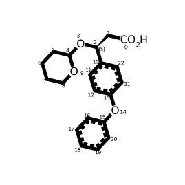 O=C(O)C[C@H](OC1CCCCO1)c1ccc(Oc2ccccc2)cc1